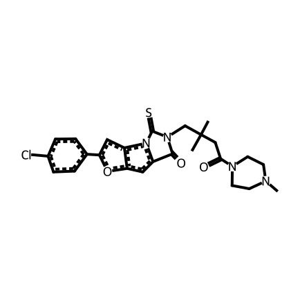 CN1CCN(C(=O)CC(C)(C)CN2C(=O)c3cc4oc(-c5ccc(Cl)cc5)cc4n3C2=S)CC1